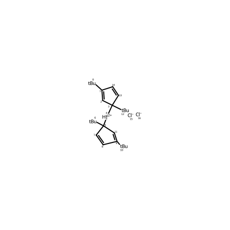 CC(C)(C)C1=C[C]([Hf+2][C]2(C(C)(C)C)C=CC(C(C)(C)C)=C2)(C(C)(C)C)C=C1.[Cl-].[Cl-]